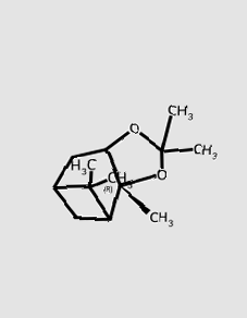 CC1(C)OC2CC3CC(C3(C)C)[C@@]2(C)O1